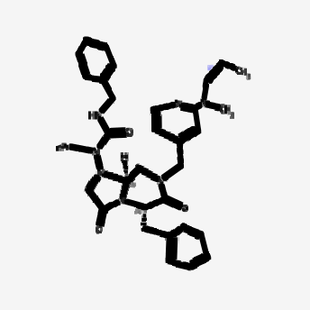 C/C=C\N(C)c1cc(CN2C[C@H]3N(C(=O)CN3N(CCC)C(=O)NCc3ccccc3)[C@@H](Cc3ccccc3)C2=O)ccn1